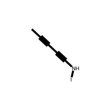 CC#CC#CNI